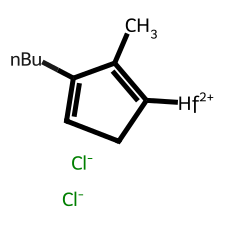 CCCCC1=CC[C]([Hf+2])=C1C.[Cl-].[Cl-]